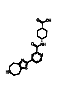 O=C(N[C@H]1CC[C@H](C(=O)O)CC1)c1cc(-c2nc3c(s2)CCNCC3)ccn1